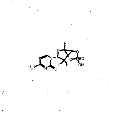 Nc1ccn([C@@H]2O[C@@H]3C4OP(=O)(O)O[C@@]43C2(F)F)c(=O)n1